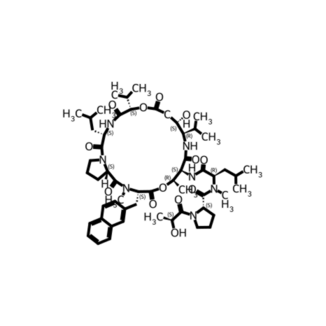 CC(C)C[C@@H]1NC(=O)[C@H](C(C)C)OC(=O)C[C@H](O)[C@@H](C(C)C)NC(=O)[C@@H](NC(=O)[C@@H](CC(C)C)N(C)C(=O)[C@@H]2CCCN2C(=O)[C@H](C)O)[C@@H](C)OC(=O)[C@H](Cc2ccc3ccccc3c2)N(C)C(=O)[C@@H]2CCCN2C1=O